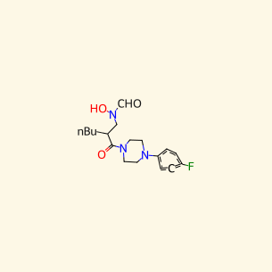 CCCCC(CN(O)C=O)C(=O)N1CCN(c2ccc(F)cc2)CC1